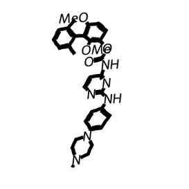 COc1ccc(OC(=O)Nc2ccnc(Nc3ccc(N4CCN(C)CC4)cc3)n2)c(OC)c1-c1c(C)cccc1C